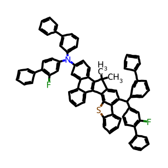 CC1(C)c2cc(C(c3cccc(-c4ccccc4)c3)c3ccc(-c4ccccc4)c(F)c3)c3c(sc4ccccc43)c2-c2c1c1ccc(N(c3cccc(-c4ccccc4)c3)c3ccc(-c4ccccc4)c(F)c3)cc1c1ccccc21